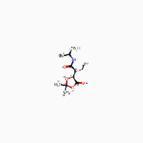 CC(C)C[C@@H](C(=O)NC(C(=O)O)C(C)(C)C)[C@@H]1OC(C)(C)OC1=O